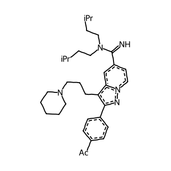 CC(=O)c1ccc(-c2nn3ccc(C(=N)N(CCC(C)C)CCC(C)C)cc3c2CCCN2CCCCC2)cc1